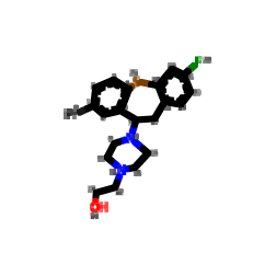 CC(C)c1ccc2c(c1)C(N1CCN(CCO)CC1)Cc1ccc(F)cc1S2